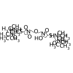 CC(C)(C)NC(=O)[C@H](CSC1CC(=O)N(CCOCCN2C(=O)C(SC[C@H](NC(C)(C)C)C(=O)NC(C)(C)C)CC2O)C1=O)NC(C)(C)C